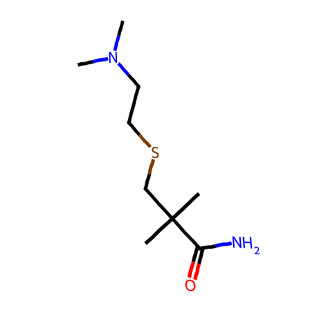 CN(C)CCSCC(C)(C)C(N)=O